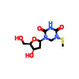 CSN1CN([C@H]2C[C@H](O)[C@@H](CO)O2)C(=O)NC1=O